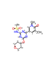 Cc1cc(-c2nc(NS(=O)(=O)C(C)C)nc(OC3CCOCC3)n2)cn(C)c1=O